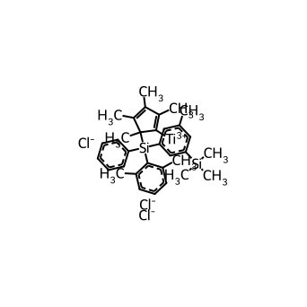 CC1=C(C)C(C)([Si](c2ccccc2)(c2cc(C)cc([Si](C)(C)C)c2)c2c(C)cccc2C)[C]([Ti+3])=C1C.[Cl-].[Cl-].[Cl-]